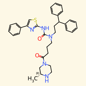 C[C@@H]1CN(C(=O)CCCN(CCC(c2ccccc2)c2ccccc2)C(=O)Nc2nc(-c3ccccc3)cs2)CCN1